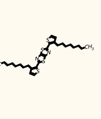 CCCCCCCCc1ccsc1-c1nc2sc(-c3sccc3CCCCCCCC)nc2s1